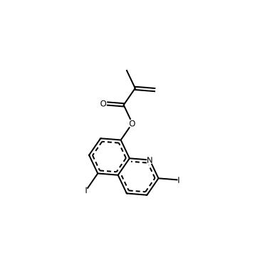 C=C(C)C(=O)Oc1ccc(I)c2ccc(I)nc12